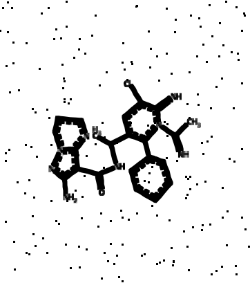 CC(=N)n1c(-c2ccccc2)c(C(C)NC(=O)c2c(N)nn3cccnc23)cc(Cl)c1=N